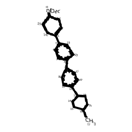 CCCCCCCCCCC1CC=C(c2ccc(-c3ccc(C4CCC(C)CC4)cc3)cc2)CC1